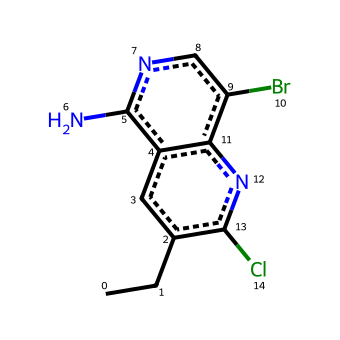 CCc1cc2c(N)ncc(Br)c2nc1Cl